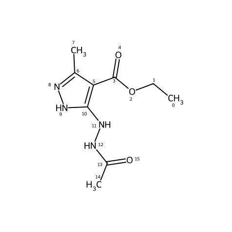 CCOC(=O)c1c(C)n[nH]c1NNC(C)=O